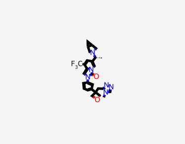 C[C@H](c1cc(C(F)(F)F)c2cn(-c3cccc(C4(Cc5nncn5C)COC4)c3)c(=O)n2c1)N1CC2CC2C1